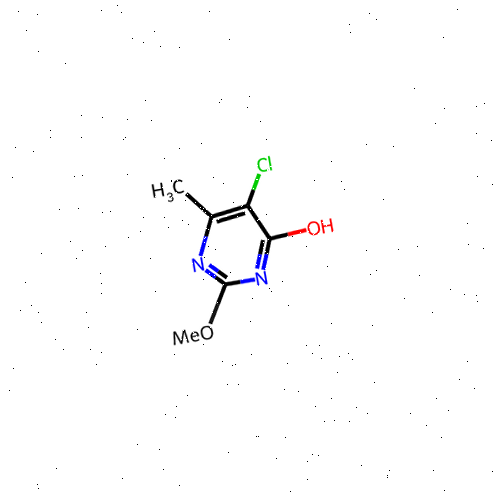 COc1nc(C)c(Cl)c(O)n1